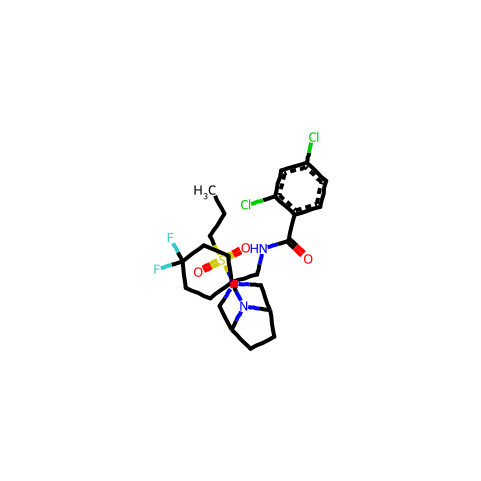 CCCS(=O)(=O)N1CC2CCC(C1)N2C1(CNC(=O)c2ccc(Cl)cc2Cl)CCC(F)(F)CC1